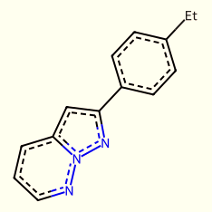 CCc1ccc(-c2cc3cccnn3n2)cc1